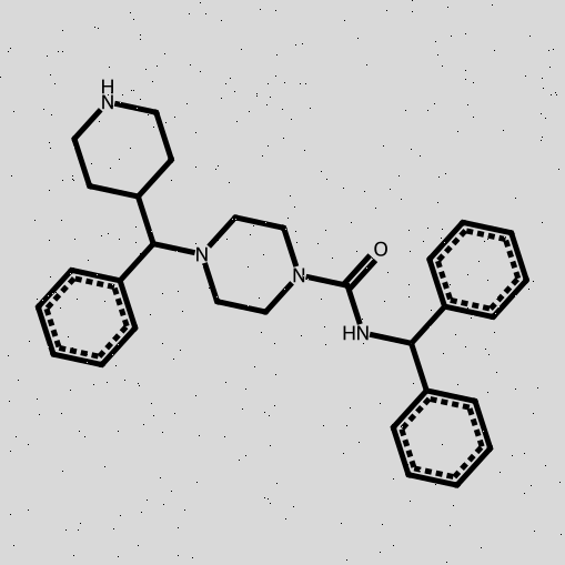 O=C(NC(c1ccccc1)c1ccccc1)N1CCN(C(c2ccccc2)C2CCNCC2)CC1